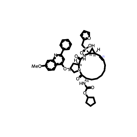 COc1ccc2c(O[C@@H]3C[C@H]4C(=O)N[C@]5(P(=O)(O)Cc6ccco6)C[C@H]5/C=C\CCCCC[C@H](NC(=O)OC5CCCC5)C(=O)N4C3)cc(-c3ccccc3)nc2c1